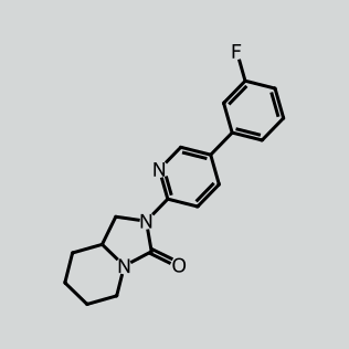 O=C1N(c2ccc(-c3cccc(F)c3)cn2)CC2CCCCN12